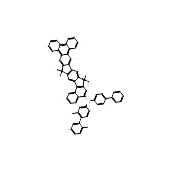 Cc1ccccc1-c1ccc(N(c2ccc(-c3ccccc3)cc2)c2cc3c(c4ccccc24)-c2cc4c(cc2C3(C)C)-c2cc3c5ccccc5c5ccccc5c3cc2C4(C)C)cc1C